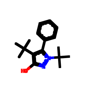 CC(C)(C)c1c(O)nn(C(C)(C)C)c1-c1ccccc1